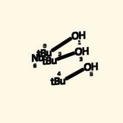 CC(C)(C)O.CC(C)(C)O.CC(C)(C)O.[Nb]